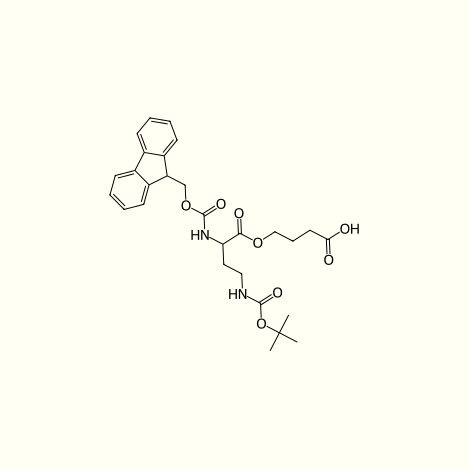 CC(C)(C)OC(=O)NCCC(NC(=O)OCC1c2ccccc2-c2ccccc21)C(=O)OCCCC(=O)O